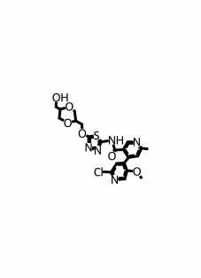 COc1cnc(Cl)cc1-c1cc(C)ncc1C(=O)Nc1nnc(OCC2COC(CO)CO2)s1